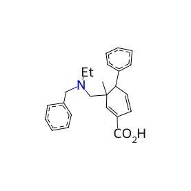 CCN(Cc1ccccc1)CC1(C)C=C(C(=O)O)C=CC1c1ccccc1